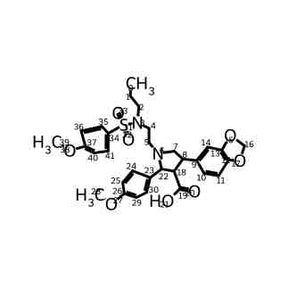 CCCN(CCN1CC(c2ccc3c(c2)OCO3)C(C(=O)O)C1c1ccc(OC)cc1)S(=O)(=O)c1ccc(OC)cc1